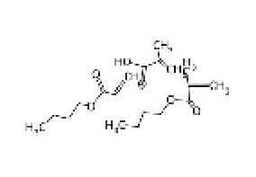 C=C(C)C(=O)O.C=C(C)C(=O)OCCCC.C=CC(=O)OCCCC